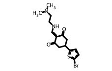 CN(C)CCNC=C1C(=O)CC(c2ccc(Br)s2)CC1=O